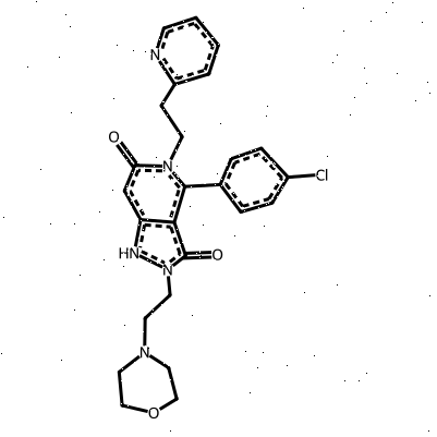 O=c1c2c(-c3ccc(Cl)cc3)n(CCc3ccccn3)c(=O)cc2[nH]n1CCN1CCOCC1